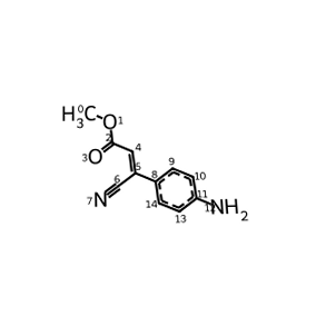 COC(=O)C=C(C#N)c1ccc(N)cc1